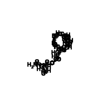 C=C1C[C@@H]2CC[C@@]34C[C@H]5OC6C(O[C@H]7CC[C@H](CC(=O)C[C@@H]8[C@@H](OC)[C@@H](C[C@H](O)CNC(=O)OCc9ccc(CC(=O)[C@H](CCCNC(N)=O)NC(=O)[C@H](CC)NC(C)=O)cc9)O[C@H]8C[C@H]8O[C@H](CCC8=C)CC[C@@H]1O2)O[C@@H]7[C@@H]6O3)[C@H]5O4